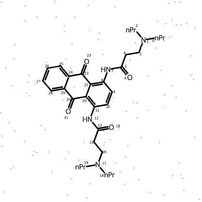 CCCN(CCC)CCC(=O)Nc1ccc(NC(=O)CCN(CCC)CCC)c2c1C(=O)c1ccccc1C2=O